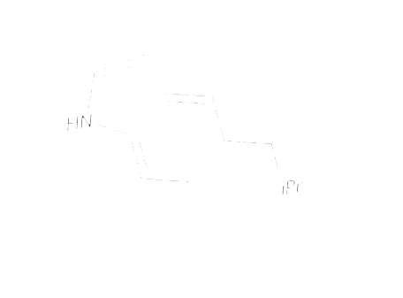 CC(C)C(C)c1ccc2[nH]ccc2c1